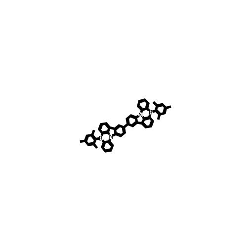 Cc1cc(C)c(B2c3ccccc3-n3c4ccc(-c5ccc6c(c5)c5cccc7c5n6-c5ccccc5B7c5c(C)cc(C)cc5C)cc4c4cccc2c43)c(C)c1